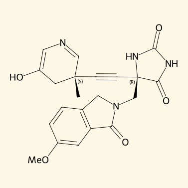 COc1ccc2c(c1)C(=O)N(C[C@@]1(C#C[C@@]3(C)C=NC=C(O)C3)NC(=O)NC1=O)C2